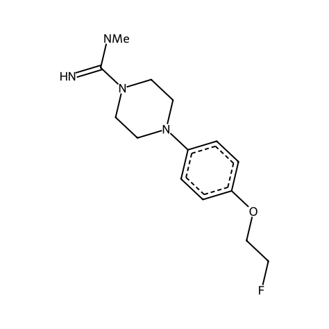 CNC(=N)N1CCN(c2ccc(OCCF)cc2)CC1